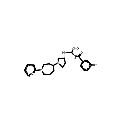 O=CC(NC(=O)c1cccc(C(F)(F)F)c1)N[C@@H]1CCN(C2CCCN(c3ccccc3)CC2)C1